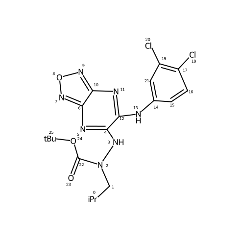 CC(C)CN(Nc1nc2nonc2nc1Nc1ccc(Cl)c(Cl)c1)C(=O)OC(C)(C)C